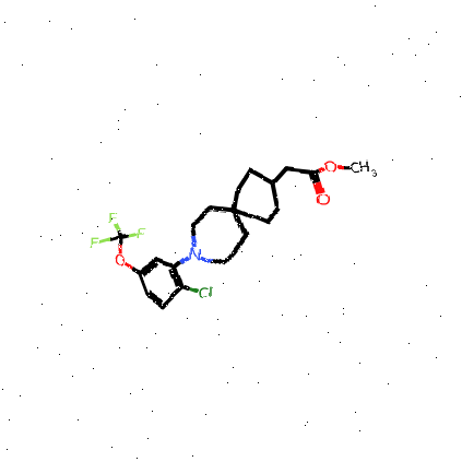 COC(=O)CC1CCC2(CC1)CCN(c1cc(OC(F)(F)F)ccc1Cl)CC2